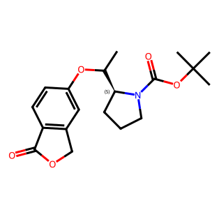 CC(Oc1ccc2c(c1)COC2=O)[C@@H]1CCCN1C(=O)OC(C)(C)C